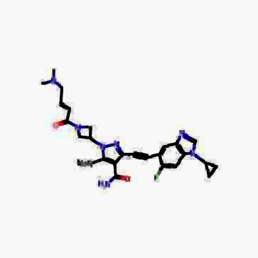 CNc1c(C(N)=O)c(C#Cc2cc3ncn(C4CC4)c3cc2F)nn1C1CN(C(=O)/C=C/CN(C)C)C1